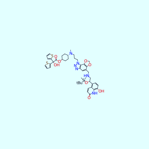 CN(CCCn1nnc2cc(CNCC(O[Si](C)(C)C(C)(C)C)c3ccc(O)c4[nH]c(=O)ccc34)c3c(c21)OCO3)[C@H]1CC[C@H](OC(=O)C(O)(c2cccs2)c2cccs2)CC1